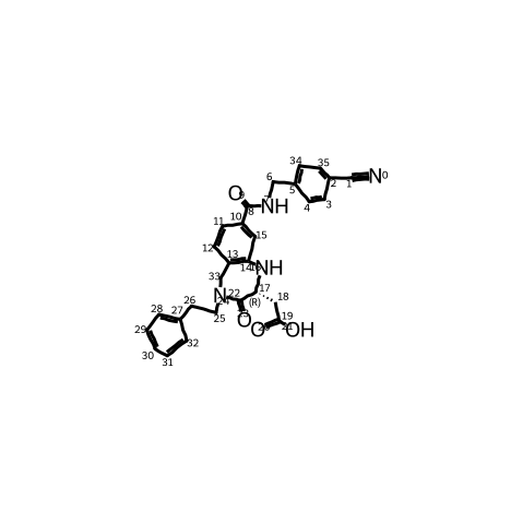 N#Cc1ccc(CNC(=O)c2ccc3c(c2)N[C@H](CC(=O)O)C(=O)N(CCc2ccccc2)C3)cc1